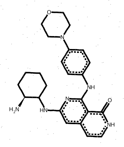 N[C@H]1CCCCC1Nc1cc2cc[nH]c(=O)c2c(Nc2ccc(N3CCOCC3)cc2)n1